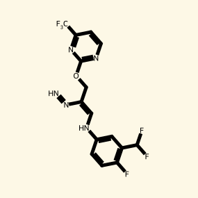 N=N/C(=C\Nc1ccc(F)c(C(F)F)c1)COc1nccc(C(F)(F)F)n1